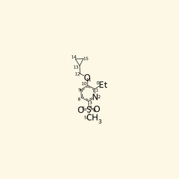 CCc1nc(S(C)(=O)=O)ccc1OCC1CC1